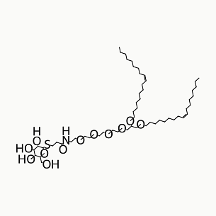 CCCCCCCC/C=C\CCCCCCCCOCC(COCCOCCOCCOCCNC(=O)CCS[C@H]1OC(CO)[C@@H](O)C(O)[C@H]1O)OCCCCCCCC/C=C\CCCCCCCC